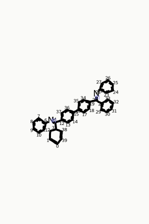 C1=CCC(/C(=N\c2ccccc2)c2ccc(-c3ccc(/C(=N/c4ccccc4)c4ccccc4)cc3)cc2)C=C1